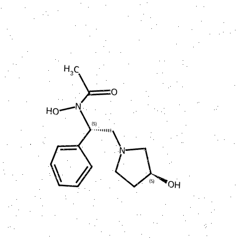 CC(=O)N(O)[C@H](CN1CC[C@H](O)C1)c1ccccc1